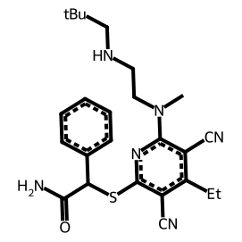 CCc1c(C#N)c(SC(C(N)=O)c2ccccc2)nc(N(C)CCNCC(C)(C)C)c1C#N